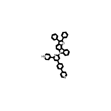 C1=CC(c2cc(-c3ccc(-c4ccncc4)cc3)cc(-n3c4ccccc4c4c5oc(-c6ccccc6)c(-c6ccccc6)c5ccc43)n2)=CCN1